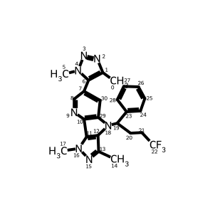 Cc1nnn(C)c1-c1cnc2c3c(c(C)nn3C)n(C(CCC(F)(F)F)c3ccccc3)c2c1